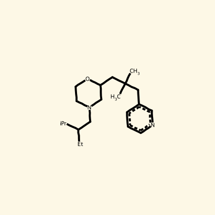 CCC(CN1CCOC(CC(C)(C)Cc2cccnc2)C1)C(C)C